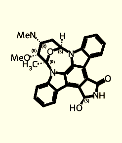 CN[C@@H]1C[C@@H]2O[C@](C)([C@@H]1OC)n1c3ccccc3c3c4c(c5c6ccccc6n2c5c31)C(=O)N[C@H]4O